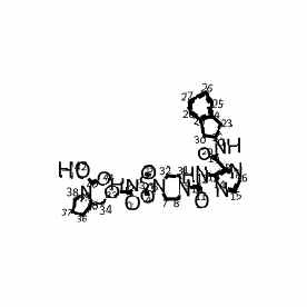 O=C(NS(=O)(=O)N1CCN(C(=O)Nc2nccnc2C(=O)NC2Cc3ccccc3C2)CC1)OC[C@H]1CCCN1C(=O)O